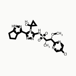 CO[C@H](c1ncc(Cl)cn1)[C@H](C)S(=O)(=O)Nc1nnc(-c2n[nH]c3c2CCC3)n1C1(C)CC1